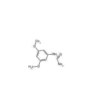 COc1cc(N)cc(OC)c1.NC=O